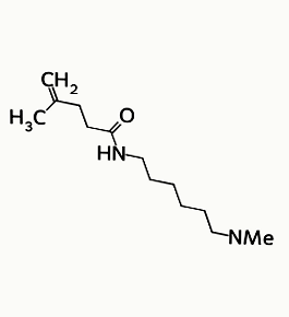 C=C(C)CCC(=O)NCCCCCCNC